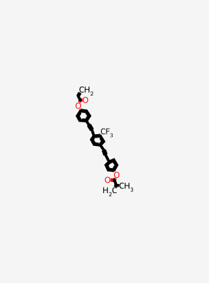 C=CC(=O)Oc1ccc(C#Cc2ccc(C#Cc3ccc(OC(=O)C(=C)C)cc3)cc2C(F)(F)F)cc1